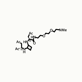 CNCCOCCOCCNC(=O)[C@H](CC(C)=O)NC1CCC1N[C@@H](CC(C)=O)C(C)=O